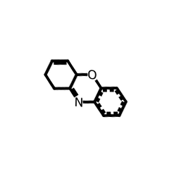 C1=CC2Oc3ccccc3N=C2CC1